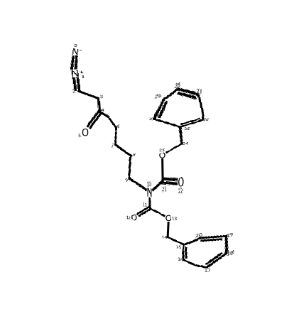 [N-]=[N+]=CCC(=O)CCCCN(C(=O)OCc1ccccc1)C(=O)OCc1ccccc1